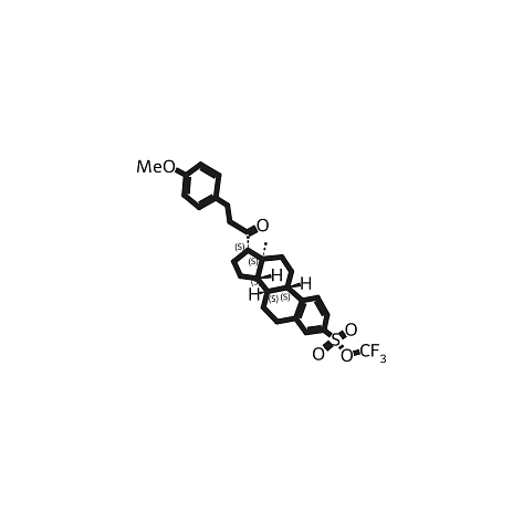 COc1ccc(CCC(=O)[C@H]2CC[C@H]3[C@@H]4CCc5cc(S(=O)(=O)OC(F)(F)F)ccc5[C@H]4CC[C@]23C)cc1